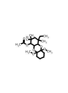 CCC1(C)CC(C)(C)C(OC(C)=O)C2OC3(OC)CCCCC3(OC)OC21